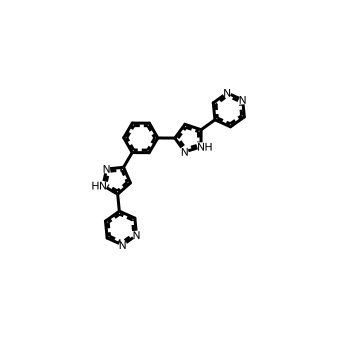 c1cc(-c2cc(-c3ccnnc3)[nH]n2)cc(-c2cc(-c3ccnnc3)[nH]n2)c1